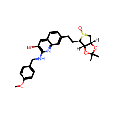 COc1ccc(CNc2nc3cc(CC[C@@H]4[C@H]5OC(C)(C)O[C@H]5C[S+]4[O-])ccc3cc2Br)cc1